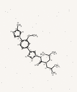 COc1cc(-c2cn(CC(=O)N(CC(C)C)CC(C)C)nn2)ccc1-n1cnc(C)c1